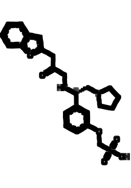 O=C(CN[C@H](CN1CCCC1)c1cccc(OCS(=O)(=O)O)c1)Cc1cc2ccccc2o1